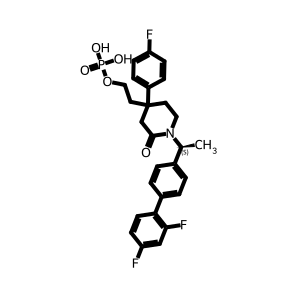 C[C@@H](c1ccc(-c2ccc(F)cc2F)cc1)N1CCC(CCOP(=O)(O)O)(c2ccc(F)cc2)CC1=O